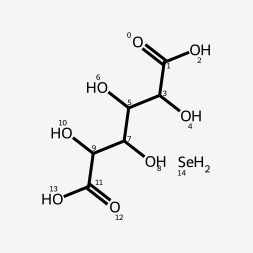 O=C(O)C(O)C(O)C(O)C(O)C(=O)O.[SeH2]